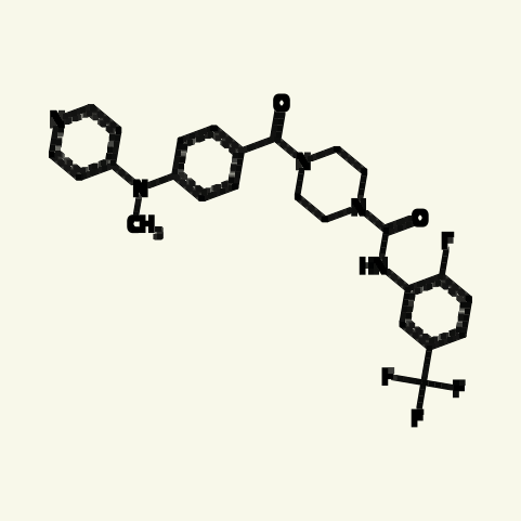 CN(c1ccncc1)c1ccc(C(=O)N2CCN(C(=O)Nc3cc(C(F)(F)F)ccc3F)CC2)cc1